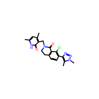 Cc1cc(C)c(CN2CCc3ccc(-c4nnn(C)c4C)c(Cl)c3C2=O)c(=O)[nH]1